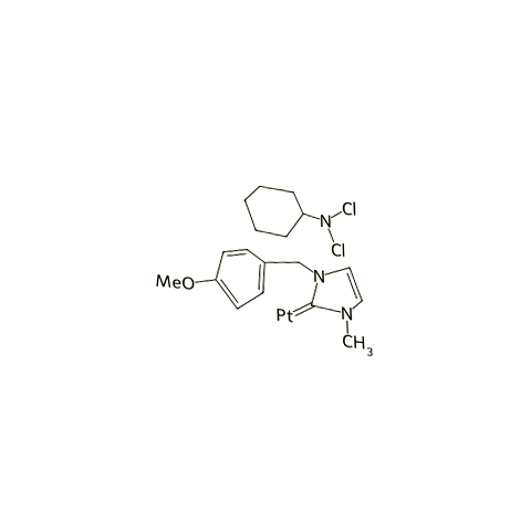 COc1ccc(Cn2ccn(C)[c]2=[Pt])cc1.ClN(Cl)C1CCCCC1